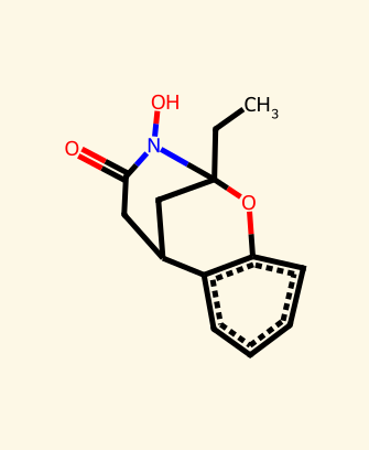 CCC12CC(CC(=O)N1O)c1ccccc1O2